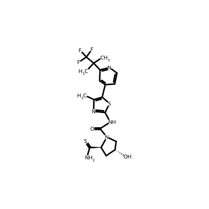 Cc1nc(NC(=O)N2C[C@H](O)C[C@H]2C(N)=S)sc1-c1ccnc(C(C)(C)C(F)(F)F)c1